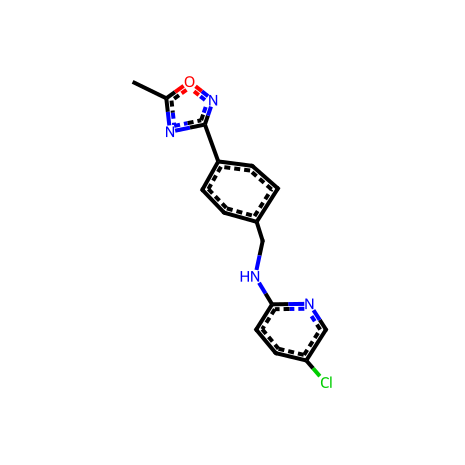 Cc1nc(-c2ccc(CNc3ccc(Cl)cn3)cc2)no1